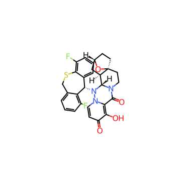 O=C1c2c(O)c(=O)ccn2N([C@H]2c3cccc(F)c3SCc3cccc(F)c32)[C@@H]2[C@H]3C[C@@H]4CC[C@@]3(CCN12)O4